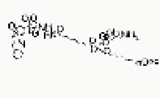 CCCCCCCCCCCCCCCCCOCC(COP(=O)(O)CCCN)OC(=O)CCCCCCCC(=O)NCCNC(=O)O[C@]1(CC)C(=O)OCc2c1cc1n(c2=O)Cc2cc3ccccc3nc2-1